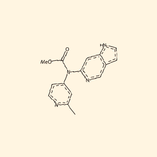 COC(=O)N(c1ccnc(C)c1)c1cc2[nH]ccc2cn1